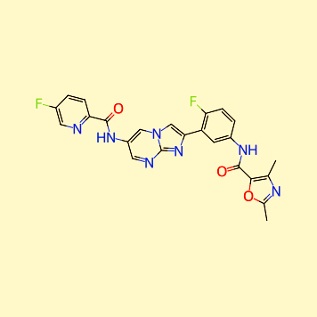 Cc1nc(C)c(C(=O)Nc2ccc(F)c(-c3cn4cc(NC(=O)c5ccc(F)cn5)cnc4n3)c2)o1